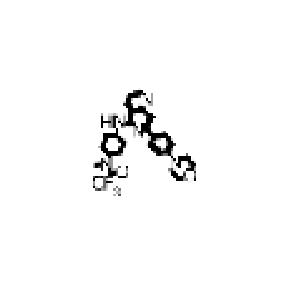 CN(C(=O)C(F)(F)F)[C@H]1CC[C@@H](Nc2nc(-c3ccc(N4CCOCC4)cc3)cc3ncccc23)CC1